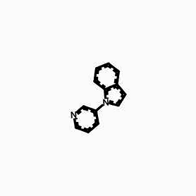 c1cncc(-n2ccc3ccccc32)c1